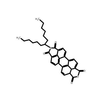 CCCCCCC(CCCCCC)N1C(=O)c2ccc3c4c5c(c6ccc(c2c36)C1=O)=CC=C1C(=O)OC(=O)C(C=C4)C15